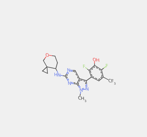 Cn1nc(-c2cc(C(F)(F)F)c(F)c(O)c2F)c2cnc(NC3CCOCC34CC4)nc21